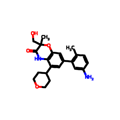 Cc1ccc(N)cc1-c1cc2c(c(C3CCOCC3)c1)NC(=O)C(C)(CO)O2